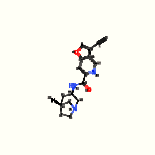 C#Cc1coc2cc(C(=O)N[C@@H]3C[C@H]4CCN(C4)C3)ncc12